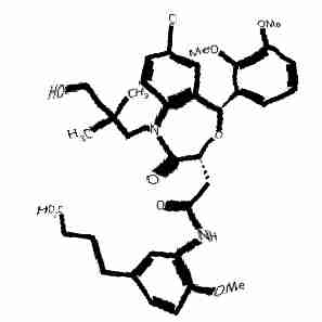 COc1ccc(CCCC(=O)O)cc1NC(=O)C[C@H]1O[C@H](c2cccc(OC)c2OC)c2cc(Cl)ccc2N(CC(C)(C)CO)C1=O